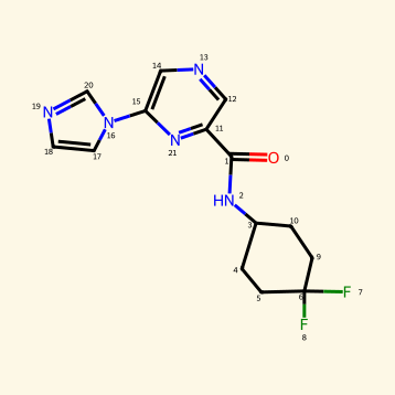 O=C(NC1CCC(F)(F)CC1)c1cncc(-n2ccnc2)n1